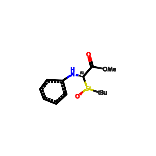 COC(=O)[C@@H](Nc1ccccc1)[S+]([O-])C(C)(C)C